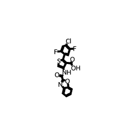 O=C(Nc1csc(-c2cc(F)c(Cl)cc2F)c1C(=O)O)c1nc2ccccc2o1